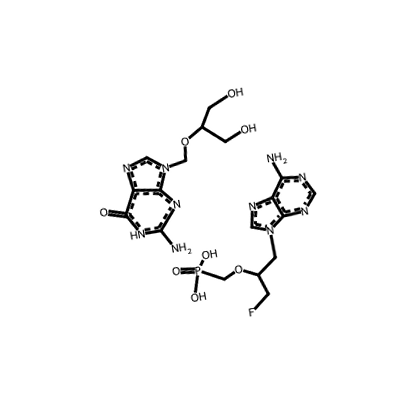 Nc1nc2c(ncn2COC(CO)CO)c(=O)[nH]1.Nc1ncnc2c1ncn2CC(CF)OCP(=O)(O)O